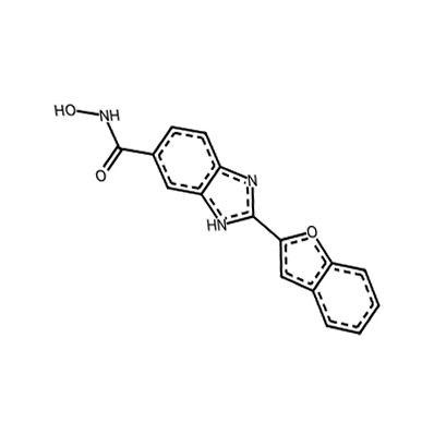 O=C(NO)c1ccc2nc(-c3cc4ccccc4o3)[nH]c2c1